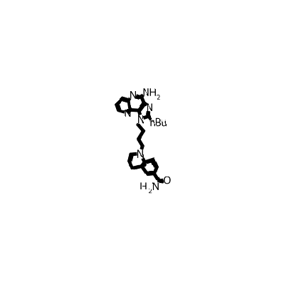 CCCCc1nc2c(N)nc3cccnc3c2n1CCCCN1C=CCc2cc(C(N)=O)ccc21